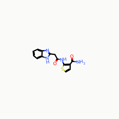 NC(=O)c1ccsc1NC(=O)Cc1nc2ccccc2[nH]1